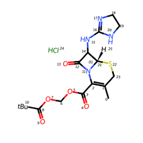 CC1=C(C(=O)OCOC(=O)C(C)(C)C)N2C(=O)C(NC3=NCCN3)[C@@H]2SC1.Cl